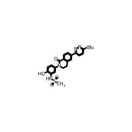 CC(C)(C)c1ccc(-c2ccc3c(c2)CCN(c2ccc(O)c(NS(C)(=O)=O)c2)C3=O)nn1